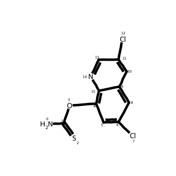 NC(=S)Oc1cc(Cl)cc2cc(Cl)cnc12